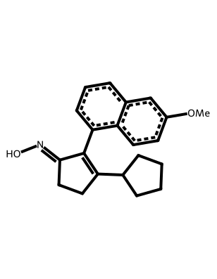 COc1ccc2c(C3=C(C4CCCC4)CCC3=NO)cccc2c1